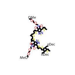 CCCCCCCCCCCCc1c2cc(-c3ccc(-c4c5c(c(-c6ccc(-c7ccc(-c8ccc(-c9c%10c(c(-c%11ccc(C)s%11)c%11nsnc9%11)C(=O)N(CCOCCOCCOC)C%10=O)s8)s7)s6)c6nsnc46)C(=O)N(CCOCCOCCOC)C5=O)s3)sc2c(CCCCCCCCCCCC)c2cc(C)sc12